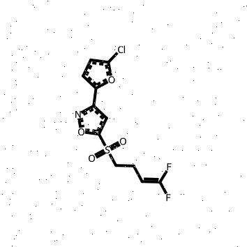 O=S(=O)(CCC=C(F)F)c1cc(-c2ccc(Cl)o2)no1